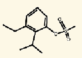 CCc1cccc(OS(C)(=O)=O)c1C(C)C